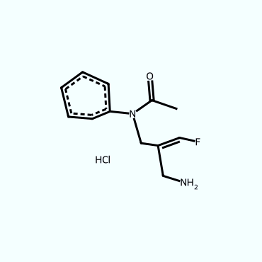 CC(=O)N(CC(=CF)CN)c1ccccc1.Cl